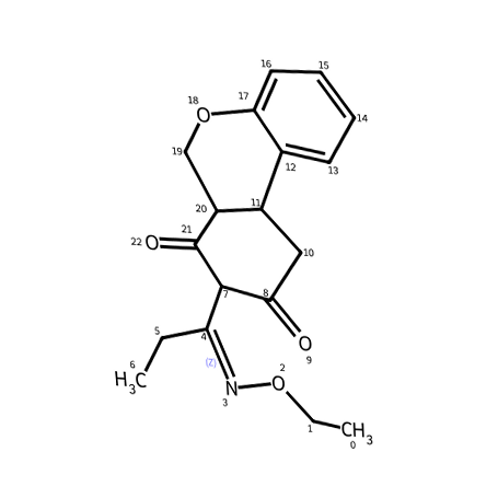 CCO/N=C(/CC)C1C(=O)CC2c3ccccc3OCC2C1=O